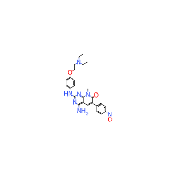 CCN(CC)CCOc1ccc(Nc2nc(N)c3cc(-c4ccc(N=O)cc4)c(=O)n(C)c3n2)cc1